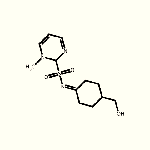 CN1C=CC=NC1S(=O)(=O)N=C1CCC(CO)CC1